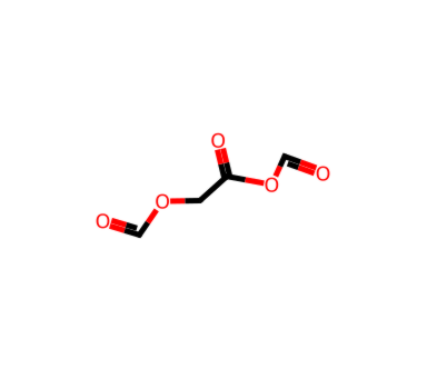 O=COCC(=O)OC=O